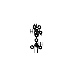 C1=C(c2ccc(-c3ccc(C4Nc5c(c6ccccc6c6ncccc56)N4c4ccc[nH]4)cc3)cc2)NC(c2ccccc2)NC1c1ccccc1